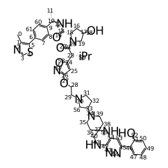 Cc1ncsc1-c1ccc([C@H](C)NC(=O)[C@@H]2C[C@@H](O)CN2C(=O)[C@@H](c2cc(OCCN3CCC(N4CCC5(CC4)CNc4nnc(-c6ccccc6O)cc4N5)C3)no2)C(C)C)cc1